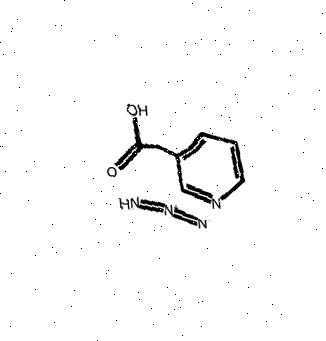 O=C(O)c1cccnc1.[N-]=[N+]=N